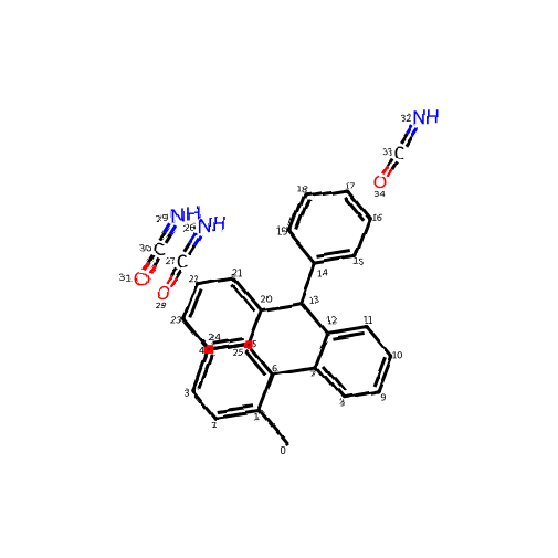 Cc1ccccc1-c1ccccc1C(c1ccccc1)c1ccccc1.N=C=O.N=C=O.N=C=O